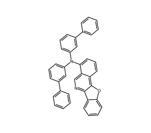 c1ccc(-c2cccc(N(c3cccc(-c4ccccc4)c3)c3cccc4c3cnc3c5ccccc5oc43)c2)cc1